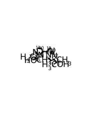 CC(C)(O)c1ccn2c(-c3ccnc(C(C)(C)O)n3)cnc2n1